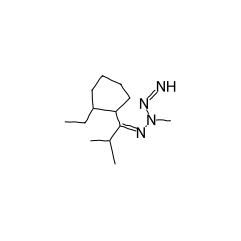 CCC1CCCCC1/C(=N\N(C)N=N)C(C)C